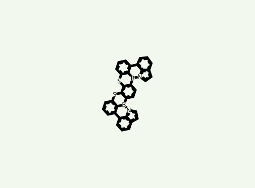 c1cc2c3c(c1)-c1cccc4ccn(c14)B3c1ccc3c(c1S2)Sc1cccc2c1B3n1ccc3cccc-2c31